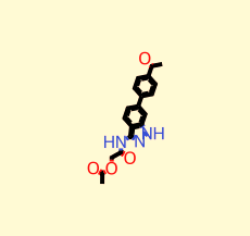 CC(=O)OCC(=O)Nc1n[nH]c2cc(-c3ccc(C(C)=O)cc3)ccc12